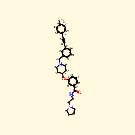 O=C(NCCN1CCCC1)c1cccc(OC2CCN(Cc3cccc(C#Cc4ccc(C(F)(F)F)cc4)c3)CC2)c1